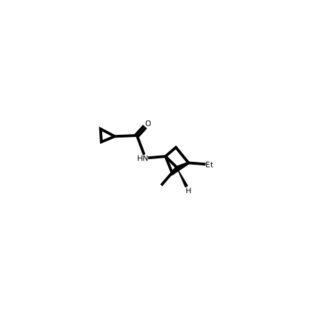 CCC12CC(NC(=O)C3CC3)(C1)[C@H]2C